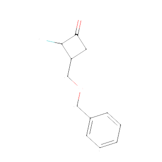 O=C1CC(COCc2ccccc2)C1F